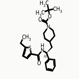 CCc1ccc(C(=O)N[C@@H](CC2CCN(C(=O)OC(C)(C)C)CC2)c2ccccc2)s1